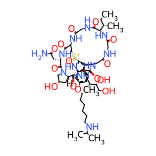 CC[C@H](C)[C@@H]1NC(=O)CNC(=O)C2Cc3c([nH]c4cc(OCCCCCCNC(C)C)ccc34)[S@+]([O-])CC(NC(=O)CNC1=O)C(=O)N[C@@H](CC(N)=O)C(=O)N1C[C@H](O)C[C@H]1C(=O)N[C@@H]([C@@H](C)[C@@H](O)CO)C(=O)N2